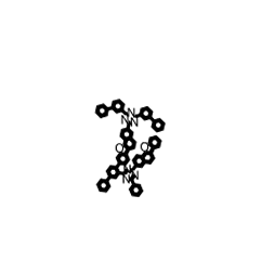 c1ccc(-c2cccc(-c3nc(-c4cccc(-c5ccccc5)c4)nc(-c4ccc5c(ccc6c7ccc(-c8ccc(-c9ccccc9)cc8-c8nc(-c9ccccc9)nc(-c9ccc%10c(ccc%11c%12ccccc%12oc%10%11)c9)n8)cc7oc56)c4)n3)c2)cc1